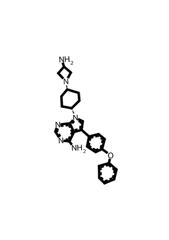 Nc1ncnc2c1c(-c1ccc(Oc3ccccc3)cc1)cn2[C@H]1CC[C@@H](N2CC(N)C2)CC1